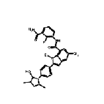 CCn1c(-c2ccc(N3C(C)CC(C)C3O)cc2)cc2cc(C(F)(F)F)cc(C(=O)Nc3cccc(C(N)=O)c3F)c21